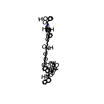 CN[C@@H](C)C(=O)N[C@H](C(=O)N1Cc2cc(OCCOCCOCCNC(=O)CCCOc3cccc(N4C[C@H]5C[C@@H]4CN5/C=C/C(=O)c4ccccc4O)n3)ccc2C[C@H]1C(=O)N[C@@H]1CCCc2ccccc21)C(C)(C)C